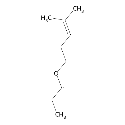 CC[CH]OCCC=C(C)C